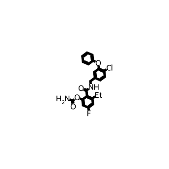 CCc1cc(F)cc(OC(N)=O)c1C(=O)NCc1ccc(Cl)c(Oc2ccccc2)c1